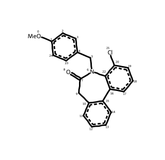 COc1ccc(CN2C(=O)Cc3ccccc3-c3cccc(Cl)c32)cc1